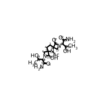 CC(=O)N1C2(CCC13CN([C@H](C(N)=O)[C@@H](C)O)C3O)CN([C@H](C(N)=O)[C@@H](C)O)C2=O